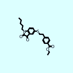 CCCCCN1C(=O)C(=O)c2cc(SCCc3ccc(C(=O)OCC)cc3)ccc21